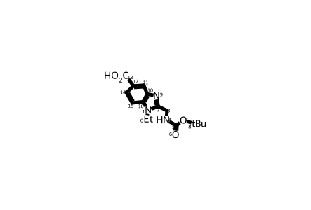 CCn1c(CNC(=O)OC(C)(C)C)nc2cc(C(=O)O)ccc21